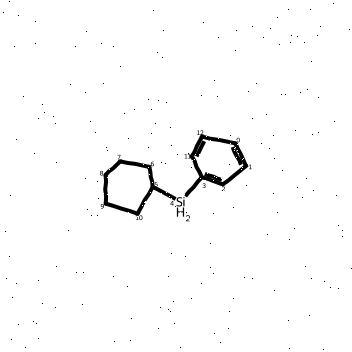 c1ccc([SiH2]C2CCCCC2)cc1